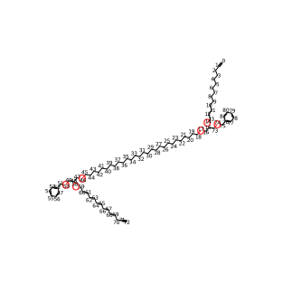 C#CCCCCCCCCCCCCOC(COCCCCCCCCCCCCCCCCCCCCCCCCCCCCOCC(COCc1ccccc1)OCCCCCCCCCCCCC#C)COCc1ccccc1